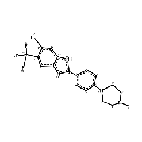 CN1CCN(c2ccc(-c3nc4cc(C(F)(F)F)c(Cl)cc4[nH]3)cc2)CC1